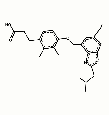 Cc1c(CCC(=O)O)ccc(OCc2cc(F)cc3sc(CC(C)C)nc23)c1C